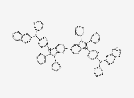 c1ccc(-c2c(-c3ccccc3)n(-c3ccc(N(c4ccccc4)c4ccc5ccccc5c4)cc3)c3ccc(-c4ccc5c(c4)c(-c4ccccc4)c(-c4ccccc4)n5-c4ccc(N(c5ccccc5)c5ccc6ccccc6c5)cc4)cc23)cc1